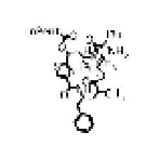 C=CCOC(=O)[C@@H](C)C[C@H](Cc1ccccc1)NC(=O)c1csc([C@@H](C[C@H](C(C)C)N(C)C(=O)[C@@H](N)[C@@H](C)CC)OC(=O)CCCCC)n1